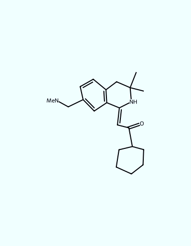 CNCc1ccc2c(c1)C(=CC(=O)C1CCCCC1)NC(C)(C)C2